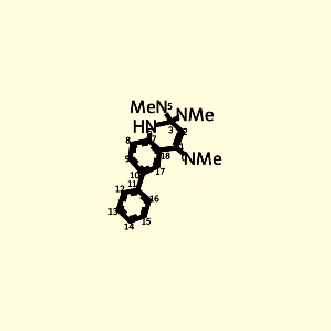 CNC1=CC(NC)(NC)Nc2ccc(-c3ccccc3)cc21